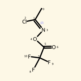 C/C(Cl)=N/OC(=O)C(F)(F)F